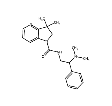 CN(C)C(CNC(=O)N1CC(C)(C)c2ncccc21)c1ccccc1